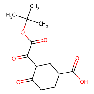 CC(C)(C)OC(=O)C(=O)C1CC(C(=O)O)CCC1=O